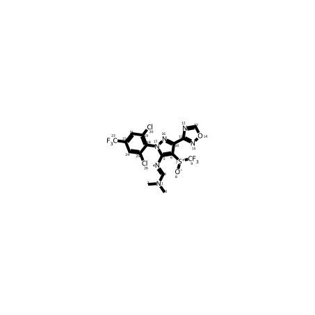 CN(C)/C=N/c1c([S+]([O-])C(F)(F)F)c(-c2ncon2)nn1-c1c(Cl)cc(C(F)(F)F)cc1Cl